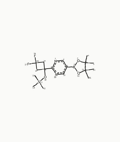 CC1(C)OB(c2cnc(C3(O[Si](C)(C)C)CC(F)(F)C3)nc2)OC1(C)C